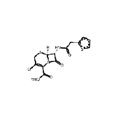 COC(=O)C1=C(Cl)CS[C@H]2[C@H](NC(=O)Cc3cccs3)C(=O)N12